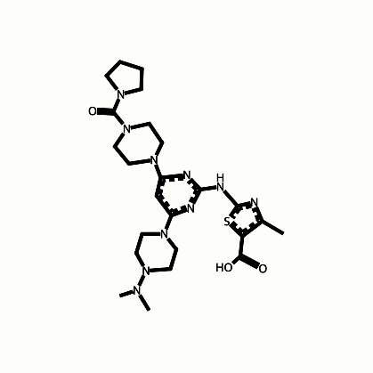 Cc1nc(Nc2nc(N3CCN(C(=O)N4CCCC4)CC3)cc(N3CCN(N(C)C)CC3)n2)sc1C(=O)O